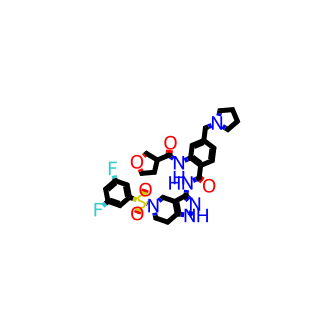 O=C(Nc1n[nH]c2c1CN(S(=O)(=O)c1cc(F)cc(F)c1)CC2)c1ccc(CN2CCCC2)cc1NC(=O)C1CCOC1